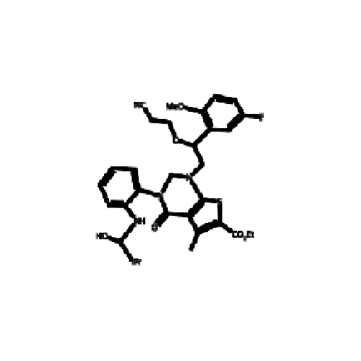 CCOC(=O)c1sc2c(c1C)C(=O)N(c1ccccc1NC(O)C(C)C)CN2CC(OCCC#N)c1cc(F)ccc1OC